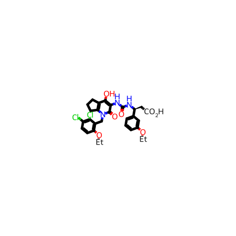 CCOc1cccc([C@H](CC(=O)O)NC(=O)Nc2c(O)c3c(n(Cc4c(OCC)ccc(Cl)c4Cl)c2=O)CCC3)c1